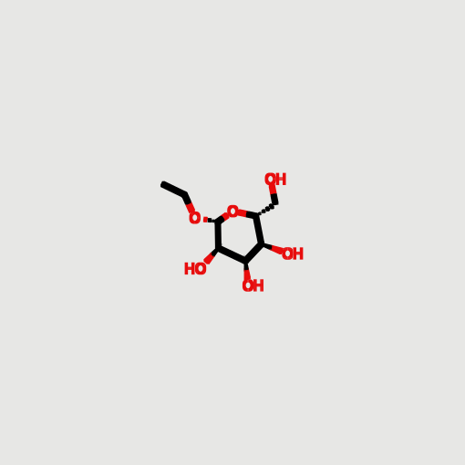 CCO[C@@H]1O[C@H](CO)[C@@H](O)[C@@H](O)[C@H]1O